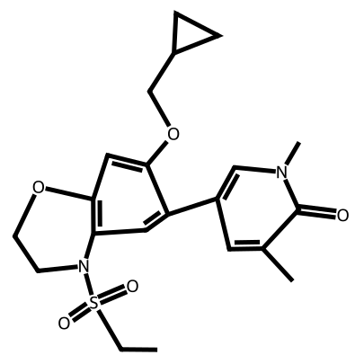 CCS(=O)(=O)N1CCOc2cc(OCC3CC3)c(-c3cc(C)c(=O)n(C)c3)cc21